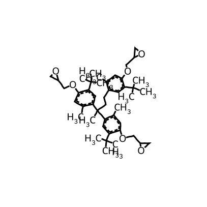 Cc1cc(OCC2CO2)c(C(C)(C)C)cc1CCC(C)(c1cc(C(C)(C)C)c(OCC2CO2)cc1C)c1cc(C(C)(C)C)c(OCC2CO2)cc1C